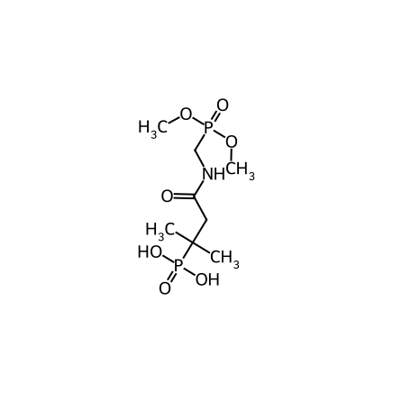 COP(=O)(CNC(=O)CC(C)(C)P(=O)(O)O)OC